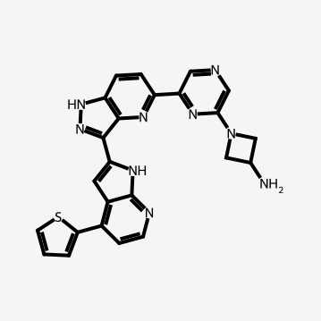 NC1CN(c2cncc(-c3ccc4[nH]nc(-c5cc6c(-c7cccs7)ccnc6[nH]5)c4n3)n2)C1